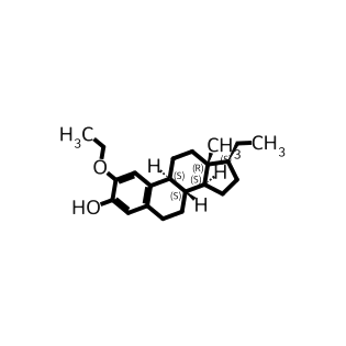 CCOc1cc2c(cc1O)CC[C@@H]1[C@@H]2CC[C@]2(C)[C@@H](CC)CC[C@@H]12